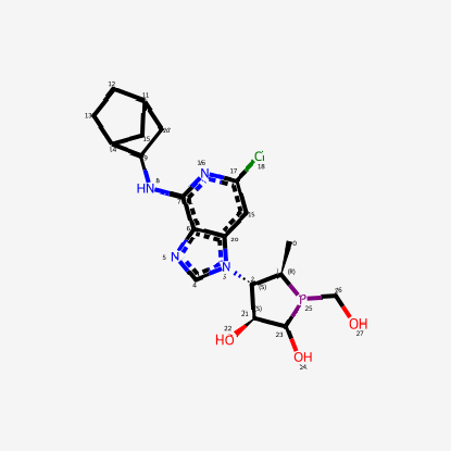 C[C@@H]1[C@@H](n2cnc3c(NC4CC5CCC4C5)nc(Cl)cc32)[C@H](O)C(O)P1CO